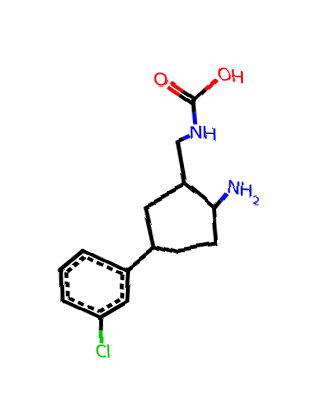 NC1CCC(c2cccc(Cl)c2)CC1CNC(=O)O